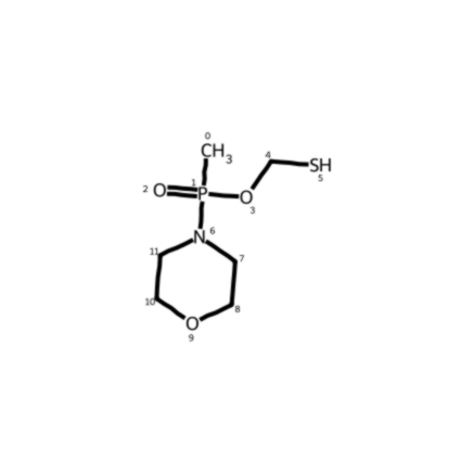 CP(=O)(OCS)N1CCOCC1